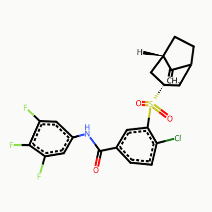 C=C1C2CC[C@H]1C[C@@H](S(=O)(=O)c1cc(C(=O)Nc3cc(F)c(F)c(F)c3)ccc1Cl)C2